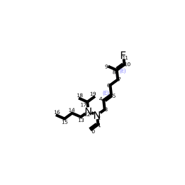 C=CN(C/C=C/CC/C(C)=C/F)N(CCCC)C(C)C